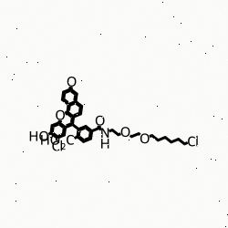 O=C(NCCOCCOCCCCCCCl)c1ccc(C(=O)O)c(-c2c3cc(Cl)c(O)cc3oc3c2ccc2cc(=O)ccc23)c1